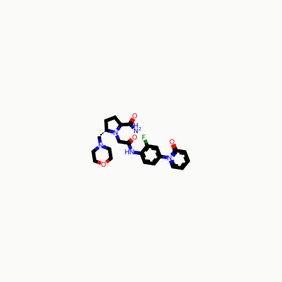 NC(=O)C1[CH]C[C@@H](CN2CCOCC2)N1CC(=O)Nc1ccc(-n2ccccc2=O)cc1F